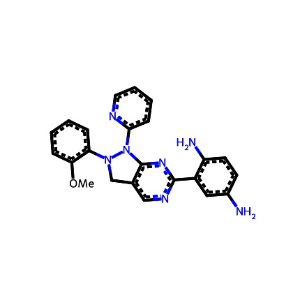 COc1ccccc1N1Cc2cnc(-c3cc(N)ccc3N)nc2N1c1ccccn1